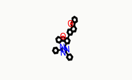 c1ccc(-c2nc(-c3ccccc3)nc(-c3ccc(-c4ccc5c(ccc6c7ccccc7oc56)c4)c4oc5ccccc5c34)n2)cc1